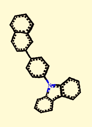 c1ccc2cc(-c3ccc(-n4c5ccccc5c5ccccc54)cc3)ccc2c1